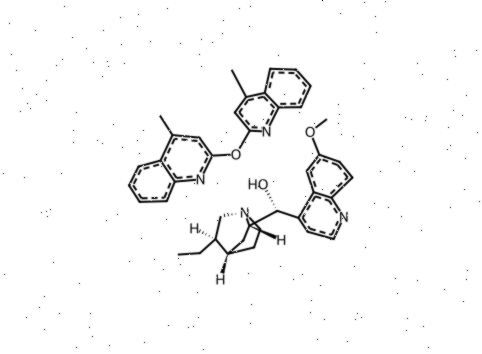 CC[C@H]1C[N@]2CC[C@H]1C[C@H]2[C@H](O)c1ccnc2ccc(OC)cc12.Cc1cc(Oc2cc(C)c3ccccc3n2)nc2ccccc12